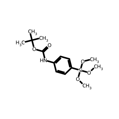 CO[Si](OC)(OC)c1ccc(NC(=O)OC(C)(C)C)cc1